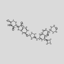 O=C1CCC(N2Cc3cc(OC4CCN(Cc5cc(N6CCC6)c6nc(C7CCOCC7)ccc6c5)C4)ccc3C2=O)C(=O)N1